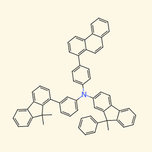 CC1(C)c2ccccc2-c2cccc(-c3cccc(N(c4ccc(-c5cccc6c5ccc5ccccc56)cc4)c4ccc5c(c4)C(C)(c4ccccc4)c4ccccc4-5)c3)c21